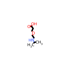 CC(C)NCCOCCC(=O)O